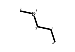 C[B]CCC